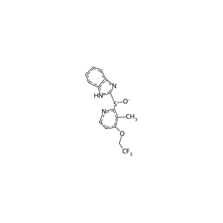 Cc1c(OCC(F)(F)F)ccnc1[S+]([O-])c1nc2ccccc2[nH]1